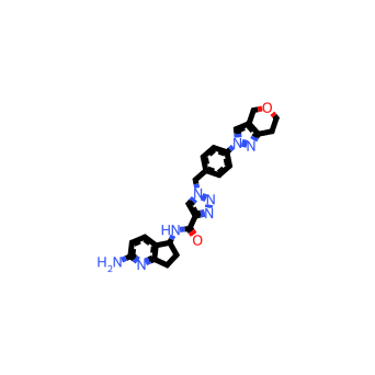 Nc1ccc2c(n1)CCC2NC(=O)c1cn(Cc2ccc(-n3cc4c(n3)CCOC4)cc2)nn1